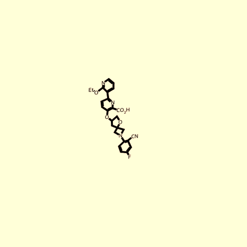 CCOc1ncccc1-c1ccc(OC2COC3(C2)CN(c2ccc(F)cc2C#N)C3)c(C(=O)O)n1